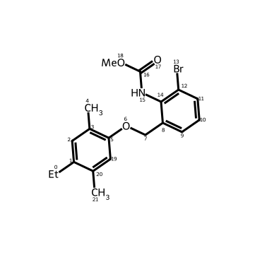 CCc1cc(C)c(OCc2cccc(Br)c2NC(=O)OC)cc1C